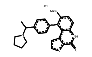 COc1ccc2[nH]c(=O)c3sccc3c2c1-c1ccc(C(C)N2CCCC2)cc1.Cl